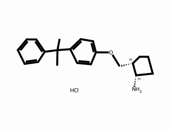 CC(C)(c1ccccc1)c1ccc(OC[C@@H]2CCC[C@@H]2N)cc1.Cl